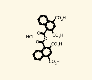 Cl.O=C(O)c1cc(C(=O)O)c2ccccc2c1C(=O)OC(=O)c1c(C(=O)O)cc(C(=O)O)c2ccccc12